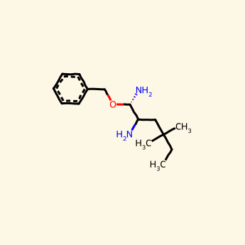 CCC(C)(C)CC(N)[C@@H](N)OCc1ccccc1